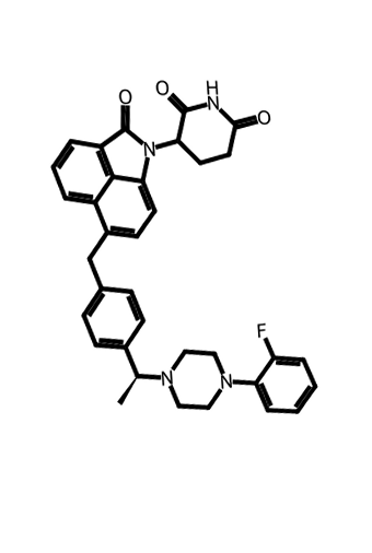 C[C@@H](c1ccc(Cc2ccc3c4c(cccc24)C(=O)N3C2CCC(=O)NC2=O)cc1)N1CCN(c2ccccc2F)CC1